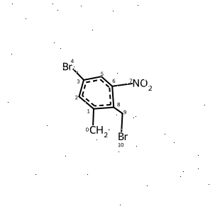 [CH2]c1cc(Br)cc([N+](=O)[O-])c1CBr